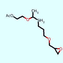 CC(=O)OCCOC(C)[SiH2]CCCOCC1CO1